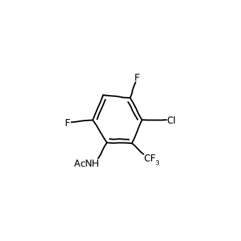 CC(=O)Nc1c(F)cc(F)c(Cl)c1C(F)(F)F